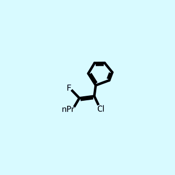 CCCC(F)=C(Cl)c1ccccc1